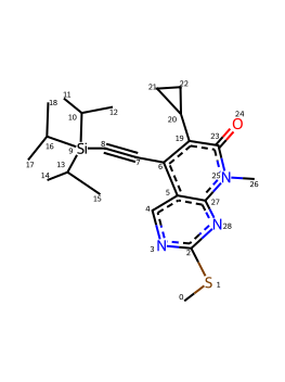 CSc1ncc2c(C#C[Si](C(C)C)(C(C)C)C(C)C)c(C3CC3)c(=O)n(C)c2n1